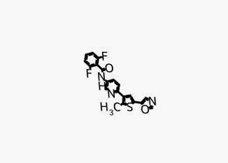 Cc1sc(-c2cnco2)cc1-c1ccc(NC(=O)c2c(F)cccc2F)cn1